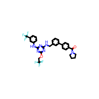 O=C(c1ccc(-c2cccc(CNc3nc(Nc4cccc(C(F)(F)F)c4)nc(OCC(F)(F)F)n3)c2)cc1)N1CCCC1